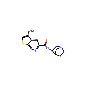 O=Cc1csc2cnc(C(=O)NC3CN4CCC3C4)cc12